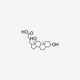 C[C@H](CCC(=O)O)C1CCC2C3CCC4CC(O)CCC4(C)C3CC(O)C21C